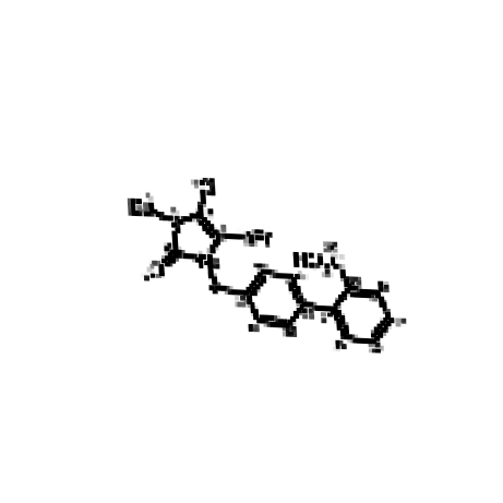 CCCc1c(Cl)n(C(C)CC)c(=O)n1Cc1ccc(-c2ccccc2C(=O)O)cc1